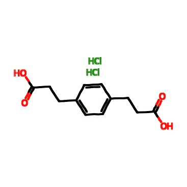 Cl.Cl.O=C(O)CCc1ccc(CCC(=O)O)cc1